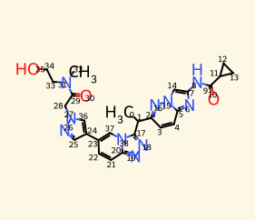 CC(c1ccc2nc(NC(=O)C3CC3)cn2n1)c1nnc2ccc(-c3cnn(CC(=O)N(C)CCO)c3)cn12